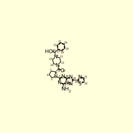 Nc1nc(N2CCC[C@H]2C(=O)N2CCN(C(O)c3ccccc3)CC2)nc2nc(-c3nccs3)nn12